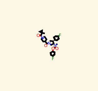 CN(C(=O)Oc1ccc(F)cc1)[C@@H]1CN(C(=O)C2CCN(C(=O)C3(C)CC3)CC2)C[C@H]1c1ccc(F)cc1